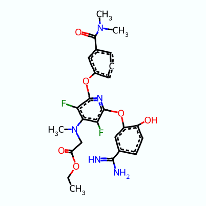 CCOC(=O)CN(C)c1c(F)c(Oc2cccc(C(=O)N(C)C)c2)nc(Oc2cc(C(=N)N)ccc2O)c1F